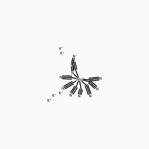 N#[C][Mo-5]([C]#N)([C]#N)([C]#N)([C]#N)([C]#N)([C]#N)([C]#N)[N]=[N+]=[N-].[K+].[K+].[K+].[K+].[K+]